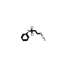 S=C=NCCC(Cl)(Cl)Sc1ccccc1